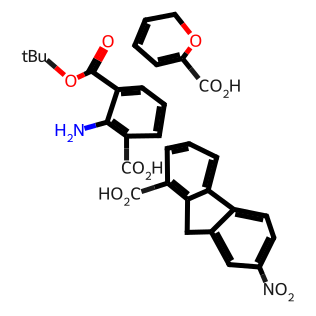 CC(C)(C)OC(=O)c1cccc(C(=O)O)c1N.O=C(O)C1=CC=CCO1.O=C(O)c1cccc2c1Cc1cc([N+](=O)[O-])ccc1-2